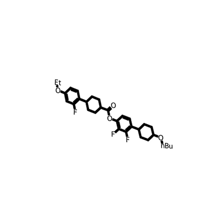 CCCCOC1CCC(c2ccc(OC(=O)C3CCC(c4ccc(OCC)cc4F)CC3)c(F)c2F)CC1